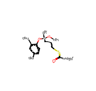 CCCCCCCC(=O)SCCC[Si](CCC)(OCCC)Oc1ccc(C(C)(C)C)cc1C(C)(C)C